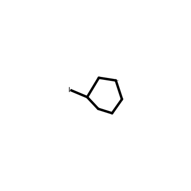 IC1C[CH]CCC1